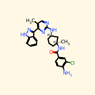 Cc1cnc(N[C@@H]2CCC[C@](C)(NC(=O)c3ccc(N)c(Cl)c3)C2)nc1-c1n[nH]c2ccccc12